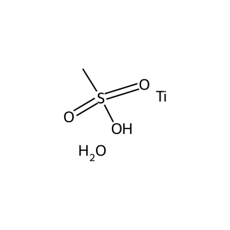 CS(=O)(=O)O.O.[Ti]